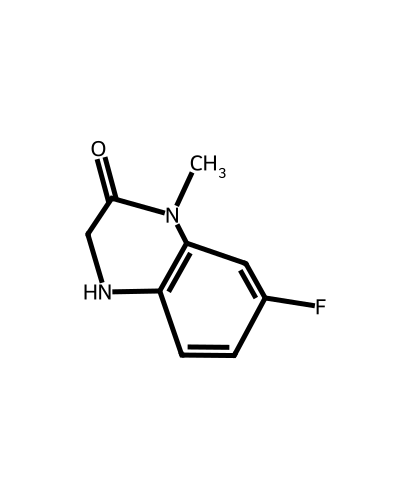 CN1C(=O)CNc2ccc(F)cc21